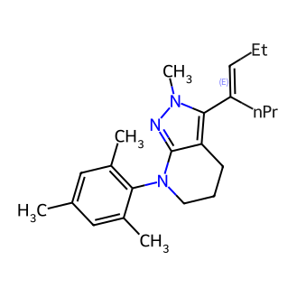 CC/C=C(\CCC)c1c2c(nn1C)N(c1c(C)cc(C)cc1C)CCC2